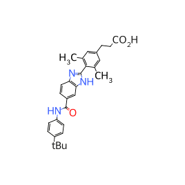 Cc1cc(CCC(=O)O)cc(C)c1-c1nc2ccc(C(=O)Nc3ccc(C(C)(C)C)cc3)cc2[nH]1